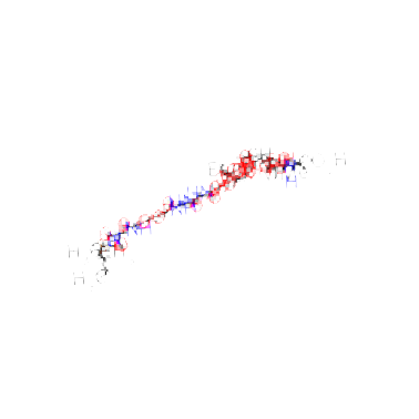 C/C=C\CCCC(C)(C)SC1CC(=O)N(CCC(=O)NCCOCCOCCC(=O)NCCNC(=O)CCNC(=O)OCC(OCCC(CO)OC2COC(C)(CCC(CO)OC(COC(=O)NCCC(=O)O)OC)O2)OC(CC)CO)C1=O